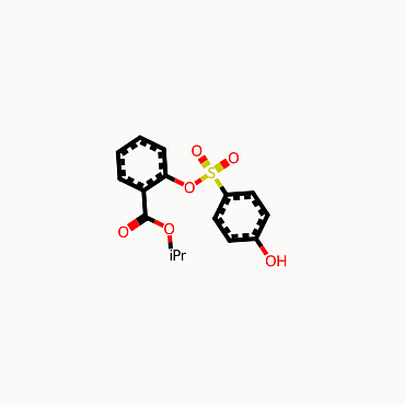 CC(C)OC(=O)c1ccccc1OS(=O)(=O)c1ccc(O)cc1